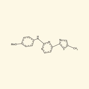 COc1ccc(Nc2nccc(-c3ncc(C)s3)n2)cc1